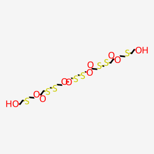 O=C(CSCSCCOOCSCSCOC(=O)CSCSCC(=O)OCCSCCO)OCCSCCO